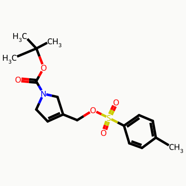 Cc1ccc(S(=O)(=O)OCC2=CCN(C(=O)OC(C)(C)C)C2)cc1